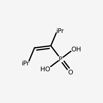 CC(C)C=C(C(C)C)P(=O)(O)O